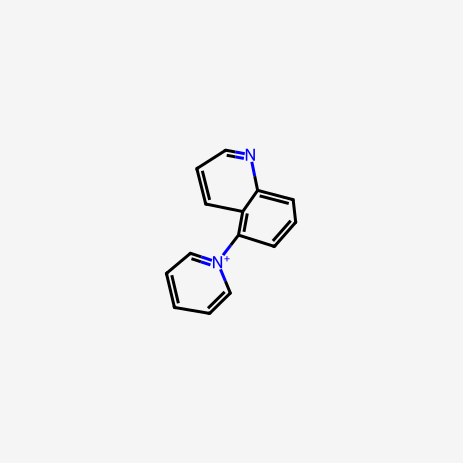 c1cc[n+](-c2cccc3ncccc23)cc1